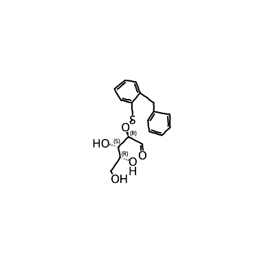 O=C[C@H](OSc1ccccc1Cc1ccccc1)[C@@H](O)[C@H](O)CO